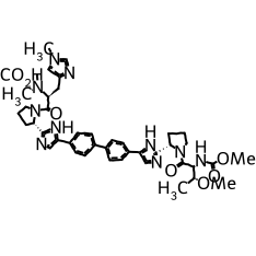 COC(=O)N[C@H](C(=O)N1CCC[C@H]1c1ncc(-c2ccc(-c3ccc(-c4cnc([C@@H]5CCCN5C(=O)[C@H](Cc5cn(C)cn5)N(C)C(=O)O)[nH]4)cc3)cc2)[nH]1)[C@@H](C)OC